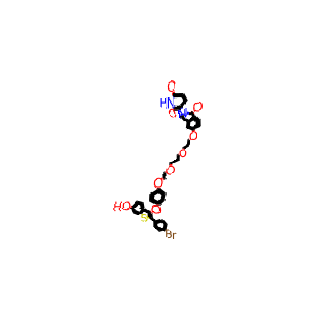 O=C1CCC(N2Cc3cc(OCCCOCCCOCCOc4ccc(Oc5c(-c6ccc(Br)cc6)sc6cc(O)ccc56)cc4)ccc3C2=O)C(=O)N1